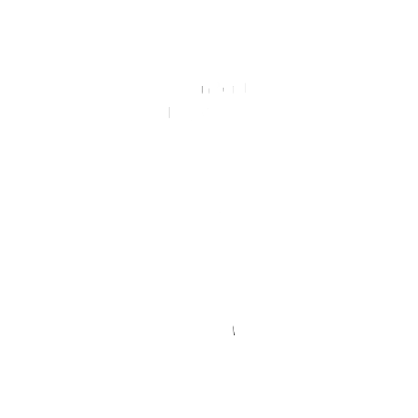 CCCCCc1ccc(C#CC2CCC([C@H]3CC[C@H](C)CC3)CC2)cc1F